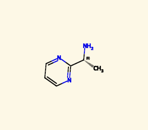 C[C@@H](N)c1ncccn1